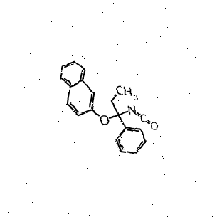 CCC(N=C=O)(Oc1ccc2ccccc2c1)c1ccccc1